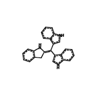 c1ccc2c(c1)CC(=C(c1c[nH]c3ccccc13)c1c[nH]c3ccccc13)N2